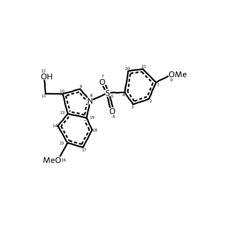 COc1ccc(S(=O)(=O)n2cc(CO)c3cc(OC)ccc32)cc1